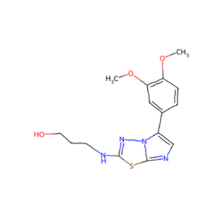 COc1ccc(-c2cnc3sc(NCCCO)nn23)cc1OC